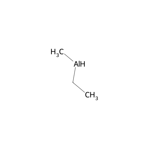 C[CH2][AlH][CH3]